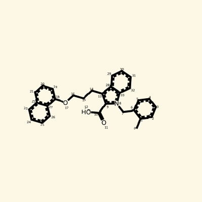 Cc1ccccc1Cn1c(C(=O)O)c(CCCOc2cccc3ccccc23)c2ccccc21